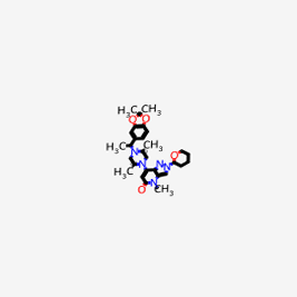 CC(c1ccc2c(c1)OC(C)(C)O2)N1C[C@H](C)N(c2cc(=O)n(C)c3cn(C4CCCCO4)nc23)C[C@H]1C